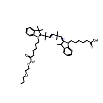 CCCOCCONC(=O)CCCCC[N+]1=C(C(C)(C)/C=C/C(C)(C)/C=C2\C(C)c3ccccc3N2CCCCCC(=O)O)C(C)(C)c2ccccc21